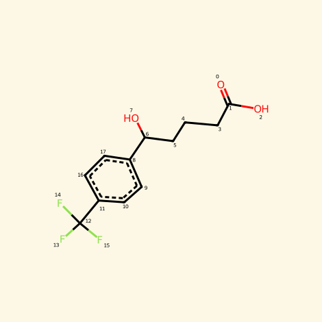 O=C(O)CCCC(O)c1ccc(C(F)(F)F)cc1